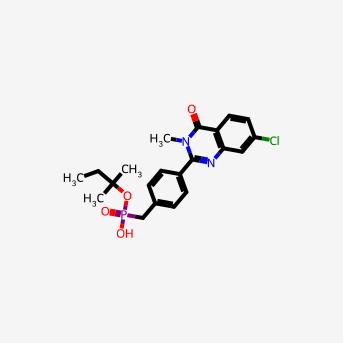 CCC(C)(C)OP(=O)(O)Cc1ccc(-c2nc3cc(Cl)ccc3c(=O)n2C)cc1